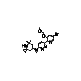 COCOc1cc(Br)cnc1-c1ccc(N(C)C2CC(C)(C)NC3(CC3)C2)nn1